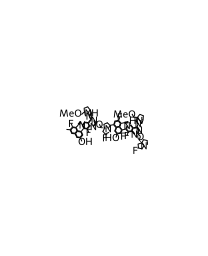 C#Cc1c(F)c(C)cc2cc(O)cc(-c3ncc4c(N5CC6CCC(COC)(C5)N6)nc(OC[C@@]56CCC(c7cc(F)c(C#C)c8c(-c9ncc%10c(N%11CC%12CCC(COC)(C%11)N%12)nc(OC[C@@]%11%12CCCN%11C[C@H](F)C%12)nc%10c9F)c(F)c(O)cc78)N5C[C@H](F)C6)nc4c3F)c12